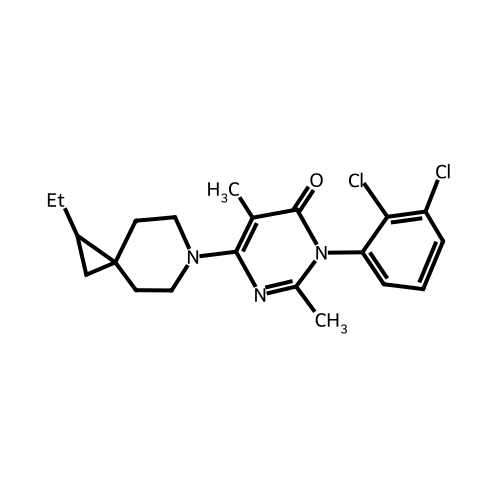 CCC1CC12CCN(c1nc(C)n(-c3cccc(Cl)c3Cl)c(=O)c1C)CC2